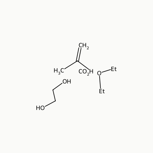 C=C(C)C(=O)O.CCOCC.OCCO